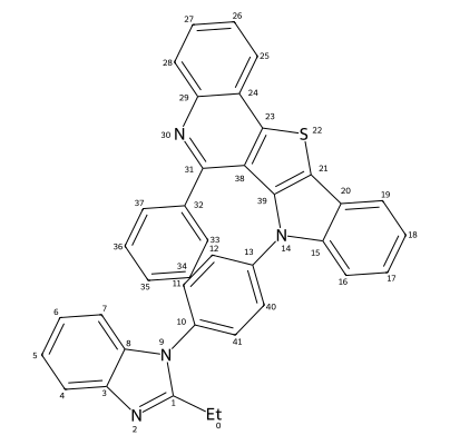 CCc1nc2ccccc2n1-c1ccc(-n2c3ccccc3c3sc4c5ccccc5nc(-c5ccccc5)c4c32)cc1